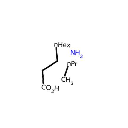 CCCC.CCCCCCCCC(=O)O.N